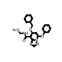 CC(=O)OCNC(=O)c1c(OCc2ccccc2)cc(Oc2ccccc2)n2ncnc12